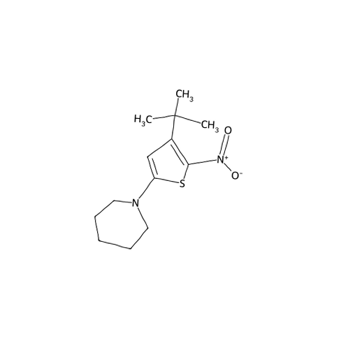 CC(C)(C)c1cc(N2CCCCC2)sc1[N+](=O)[O-]